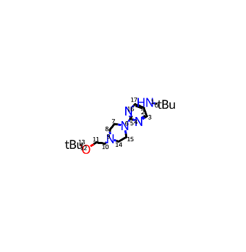 CC(C)(C)Nc1cnc(N2CCN(CCOC(C)(C)C)CC2)nc1